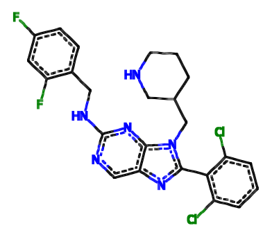 Fc1ccc(CNc2ncc3nc(-c4c(Cl)cccc4Cl)n(CC4CCCNC4)c3n2)c(F)c1